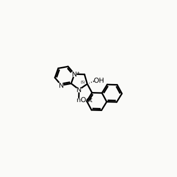 CCCCCCCCN1c2nccc[n+]2C[C@@]1(O)c1cccc2ccccc12